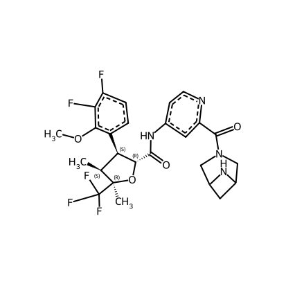 COc1c([C@H]2[C@H](C(=O)Nc3ccnc(C(=O)N4CC5CC(C4)N5)c3)O[C@@](C)(C(F)(F)F)[C@H]2C)ccc(F)c1F